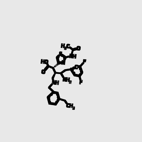 CCc1cccc(CNC[C@H](C(N)Cc2cc(F)cc(F)c2)[C@H](C(=O)O)c2csc(NC(C)=O)n2)c1